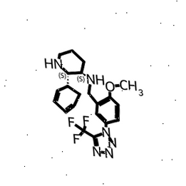 COc1ccc(-n2nnnc2C(F)(F)F)cc1CN[C@H]1CCCN[C@H]1C1C=CC=CC1